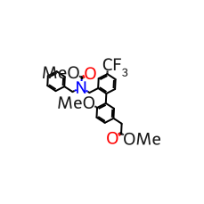 COC(=O)Cc1ccc(OC)c(-c2ccc(C(F)(F)F)cc2CN(Cc2ccccc2)C(=O)OC)c1